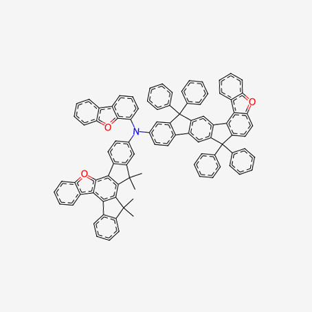 CC1(C)c2cc(N(c3ccc4c(c3)C(c3ccccc3)(c3ccccc3)c3cc5c(cc3-4)C(c3ccccc3)(c3ccccc3)c3ccc4oc6ccccc6c4c3-5)c3cccc4c3oc3ccccc34)ccc2-c2c1c1c(c3c2oc2ccccc23)-c2ccccc2C1(C)C